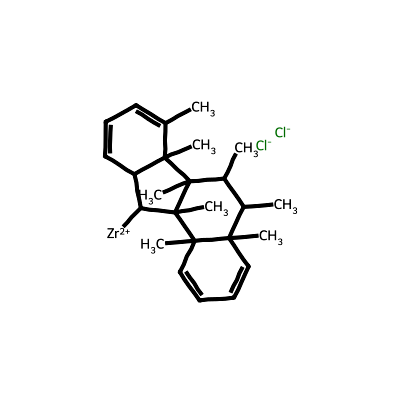 CC1=CC=CC2[CH]([Zr+2])C3(C)C4(C)C=CC=CC4(C)C(C)C(C)C3(C)C12C.[Cl-].[Cl-]